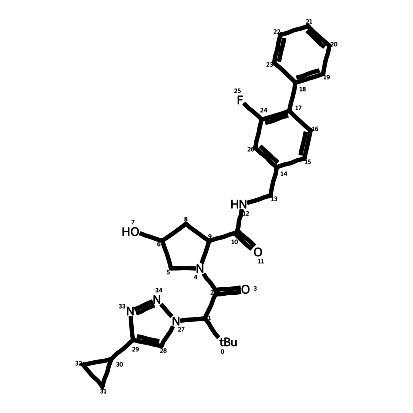 CC(C)(C)C(C(=O)N1CC(O)CC1C(=O)NCc1ccc(-c2ccccc2)c(F)c1)n1cc(C2CC2)nn1